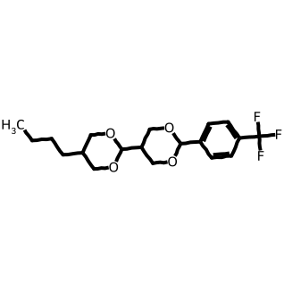 CCCCC1COC(C2COC(c3ccc(C(F)(F)F)cc3)OC2)OC1